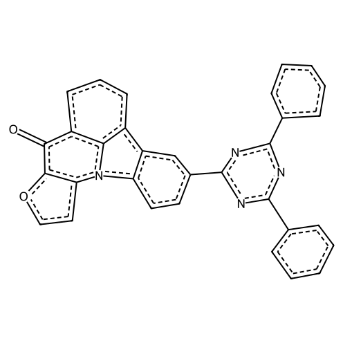 O=c1c2cccc3c4cc(-c5nc(-c6ccccc6)nc(-c6ccccc6)n5)ccc4n(c4ccoc14)c23